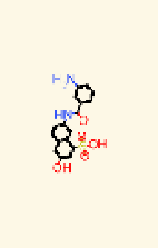 Nc1cccc(C(=O)Nc2ccc3cc(O)cc(S(=O)(=O)O)c3c2)c1